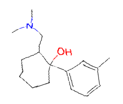 Cc1cccc(C2(O)CCCCC2CN(C)C)c1